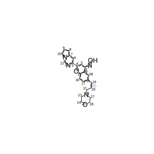 ON=c1cc(-c2cc3cccn3cn2)oc2ccc(/C=C\CN3CCOCC3)cc12